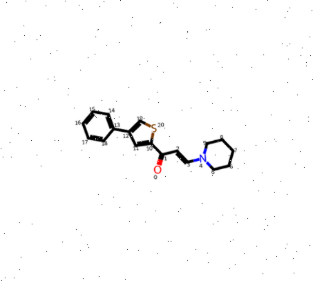 O=C(C=CN1CCCCC1)c1cc(-c2ccccc2)cs1